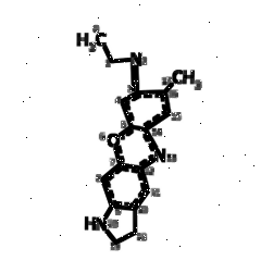 CCN=c1cc2oc3cc4c(cc3nc-2cc1C)CCN4